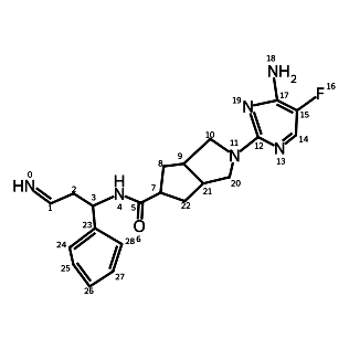 N=CCC(NC(=O)C1CC2CN(c3ncc(F)c(N)n3)CC2C1)c1ccccc1